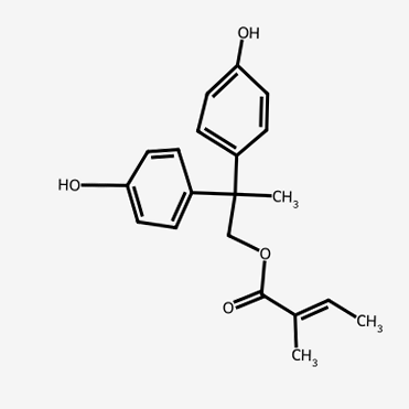 CC=C(C)C(=O)OCC(C)(c1ccc(O)cc1)c1ccc(O)cc1